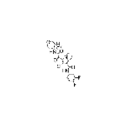 CC1(NC(=O)C(=O)c2c(Cl)c(C(=O)Nc3ccc(F)c(F)c3)c3n2CCC3)CCOCC1